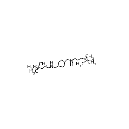 C[Si](C)(C)CCCNCC1CCC(CNCCC[Si](C)(C)C)CC1